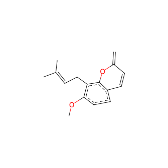 C=C1C=Cc2ccc(OC)c(CC=C(C)C)c2O1